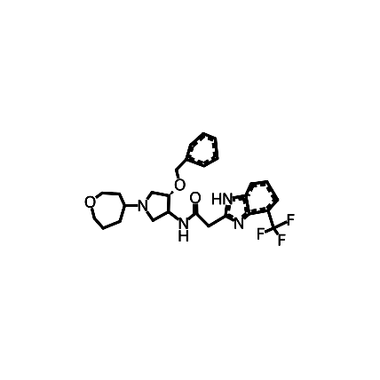 O=C(Cc1nc2c(C(F)(F)F)cccc2[nH]1)NC1CN(C2CCCOCC2)C[C@@H]1OCc1ccccc1